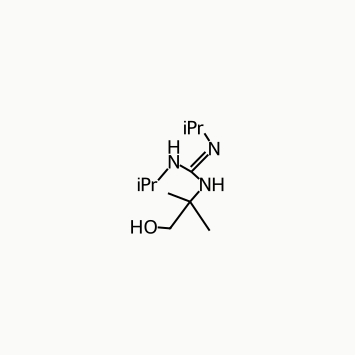 CC(C)/N=C(\NC(C)C)NC(C)(C)CO